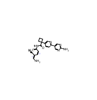 C=C(/C=C\C(C#N)=C/N)NC(=O)C1(c2ccc(-c3cnc(N)nc3)nc2)CCC1